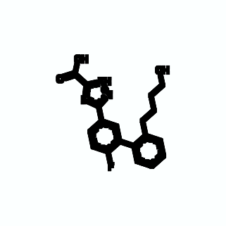 O=C(O)c1nc(-c2ccc(F)c(-c3ccccc3CCCCO)c2)n[nH]1